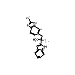 CC(C)c1nc2ccc(CC(C)(C)c3cc4ccccc4[nH]3)cc2o1